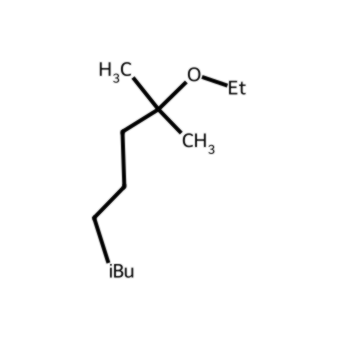 [CH2]CC(C)CCCC(C)(C)OCC